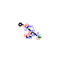 COC(=O)[C@@H](C)NC(=O)[C@@H](C)NC(=O)[C@H](CCCCNC(=O)C(F)(F)F)NC(=O)CC[C@H](NC(=O)OCc1ccccc1)C(N)=O